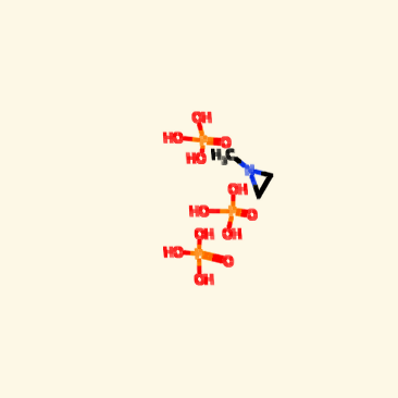 CN1CC1.O=P(O)(O)O.O=P(O)(O)O.O=P(O)(O)O